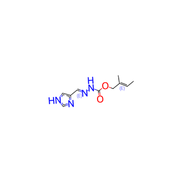 C/C=C(\C)COC(=O)N/N=C/c1c[nH]cn1